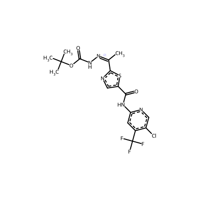 C/C(=N/NC(=O)OC(C)(C)C)c1ncc(C(=O)Nc2cc(C(F)(F)F)c(Cl)cn2)s1